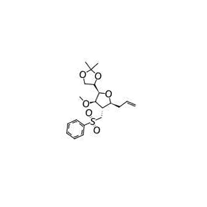 C=CC[C@@H]1O[C@H](C2COC(C)(C)O2)[C@H](OC)[C@H]1CS(=O)(=O)c1ccccc1